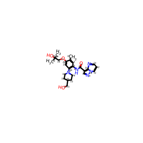 Cc1cc(NC(=O)c2cnn3cccnc23)c(N2CCC(CO)CC2)cc1OCC(C)(C)O